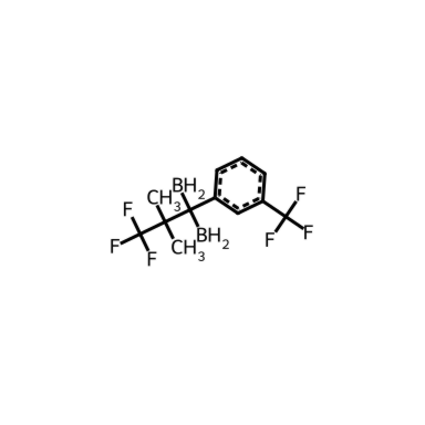 BC(B)(c1cccc(C(F)(F)F)c1)C(C)(C)C(F)(F)F